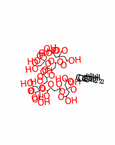 O=C(O)CC(CC(=O)O)(OC(=O)CC(OC(C(=O)O)C(OC(CC(=O)OC(CC(=O)O)(CC(=O)O)C(=O)O)C(=O)OC(CC(=O)O)(CC(=O)O)C(=O)O)C(=O)O)C(=O)OC(CC(=O)O)(CC(=O)O)C(=O)O)C(=O)O.[CaH2].[CaH2].[CaH2].[CaH2]